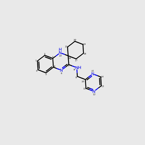 c1ccc2c(c1)N=C(NCc1cnccn1)C1(CCCCC1)N2